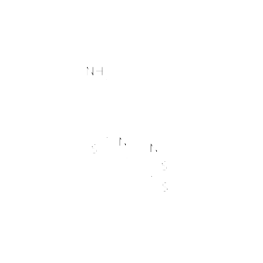 CCCN(C)C1C(N(C)C(=S)c2ccc(N)cc2)CCCCC1(SC)SC